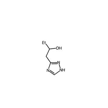 CCC(O)Cc1nc[nH]n1